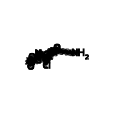 Cc1cc(Cl)cc(-c2ccnc3cc(CN4C(=O)CCC4=O)sc23)c1OC1CCN(C(=O)CCCCCCCN)CC1